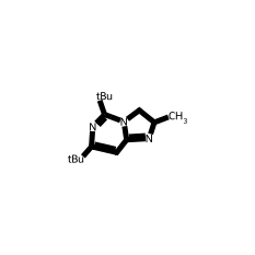 CC1CN2C(=N1)C=C(C(C)(C)C)N=C2C(C)(C)C